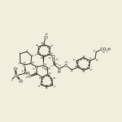 CS(=O)(=O)N[C@H]1CCCCC1N1C(=O)c2ccccc2[C@@H](C(=O)NOCc2ccc(CCC(=O)O)cc2)[C@@H]1c1ccc(Cl)cc1Cl